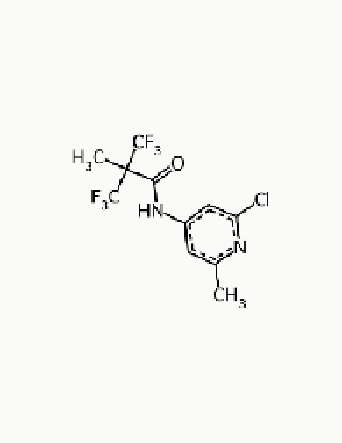 Cc1cc(NC(=O)C(C)(C(F)(F)F)C(F)(F)F)cc(Cl)n1